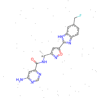 C[C@@H](NC(=O)c1cc(N)ncn1)c1cc(-c2nc3ccc(CF)cc3[nH]2)on1